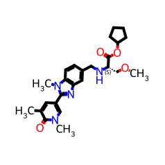 COC[C@H](NCc1ccc2c(c1)nc(-c1cc(C)c(=O)n(C)c1)n2C)C(=O)OC1CCCC1